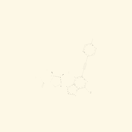 Nc1nc(C#Cc2ccc(F)cc2)nc2c1ncn2[C@@H]1C[C@H](C(=O)O)[C@@H](O)[C@H]1O